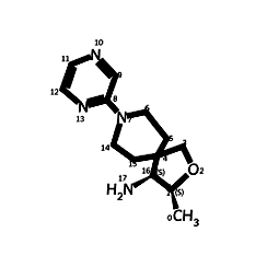 C[C@@H]1OCC2(CCN(c3cnccn3)CC2)[C@@H]1N